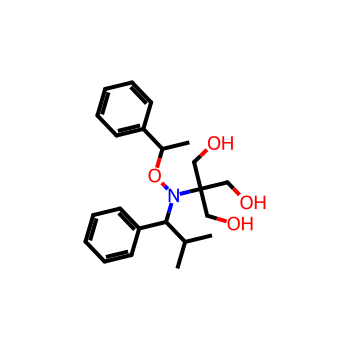 CC(ON(C(c1ccccc1)C(C)C)C(CO)(CO)CO)c1ccccc1